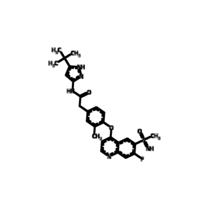 Cc1cc(CC(=O)Nc2cc(C(C)(C)C)[nH]n2)ccc1Oc1ccnc2cc(F)c(S(C)(=N)=O)cc12